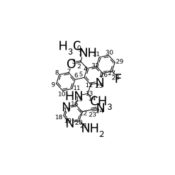 CNC(=O)c1c(-c2ccccc2)c(C(C)Nc2ncnc(N)c2C#N)nc2c(F)cccc12